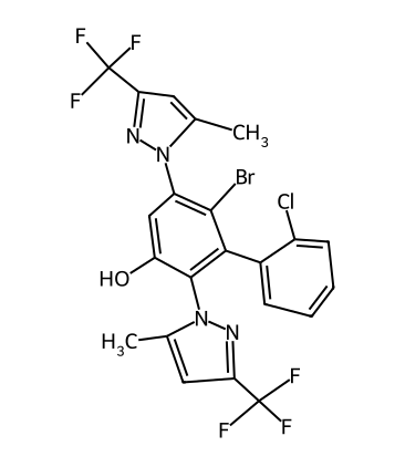 Cc1cc(C(F)(F)F)nn1-c1cc(O)c(-n2nc(C(F)(F)F)cc2C)c(-c2ccccc2Cl)c1Br